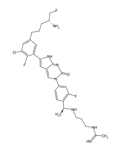 CC(=N)NCCCN[C@@H](C)c1ccc(-n2cc3cc(-c4cc(CCC[C@@H](N)CF)cc(Cl)c4F)[nH]c3nc2=O)cc1F